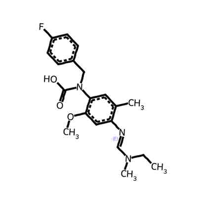 CCN(C)/C=N/c1cc(OC)c(N(Cc2ccc(F)cc2)C(=O)O)cc1C